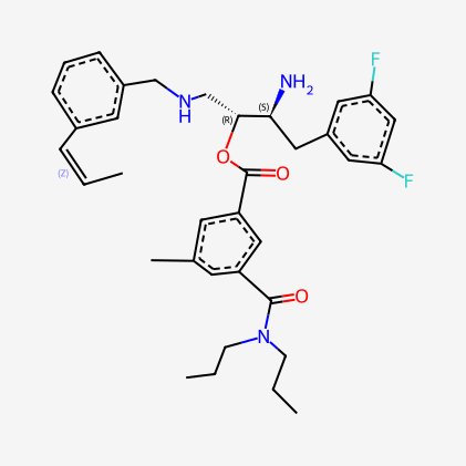 C/C=C\c1cccc(CNC[C@@H](OC(=O)c2cc(C)cc(C(=O)N(CCC)CCC)c2)[C@@H](N)Cc2cc(F)cc(F)c2)c1